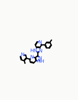 Cc1cccc(-c2nccc3[nH]c(-c4n[nH]c5ccc(-c6cnccc6C)nc45)nc23)c1